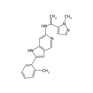 C=C(Nc1cc2[nH]c(-c3ccccc3C)cc2cn1)c1ccnn1C